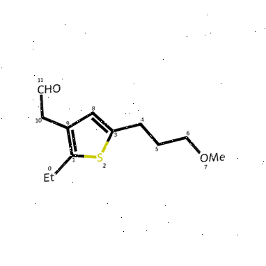 CCc1sc(CCCOC)cc1CC=O